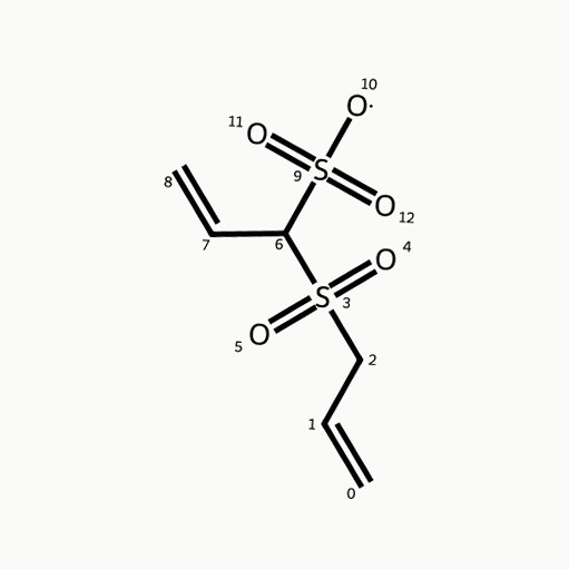 C=CCS(=O)(=O)C(C=C)S([O])(=O)=O